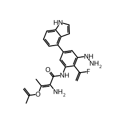 C=C(C)O/C(C)=C(\N)C(=O)Nc1cc(-c2cccc3[nH]ccc23)cc(NN)c1C(=C)F